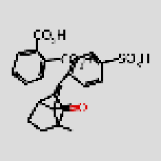 CC12CCC(C(=Cc3ccc(S(=O)(=O)O)cc3)C1=O)C2(C)C.O=C(O)c1ccccc1C(=O)O